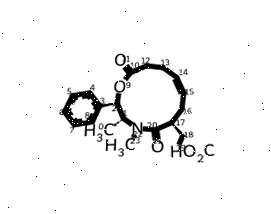 C[C@@H]1[C@@H](c2ccccc2)OC(=O)CCC=CC[C@@H](CC(=O)O)C(=O)N1C